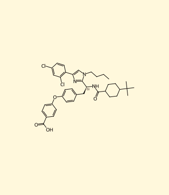 CCCCn1cc(-c2ccc(Cl)cc2Cl)nc1[C@H](Cc1ccc(Oc2ccc(C(=O)O)cc2)cc1)NC(=O)C1CCC(C(C)(C)C)CC1